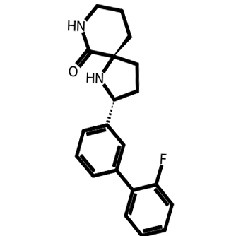 O=C1NCCC[C@]12CC[C@H](c1cccc(-c3ccccc3F)c1)N2